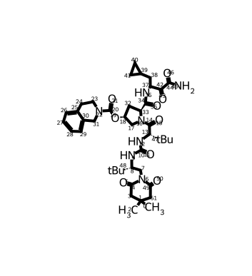 CC1(C)CC(=O)N(C[C@@H](NC(=O)N[C@H](C(=O)N2C[C@H](OC(=O)N3CCc4ccccc4C3)C[C@H]2C(=O)NC(CC2CC2)C(=O)C(N)=O)C(C)(C)C)C(C)(C)C)C(=O)C1